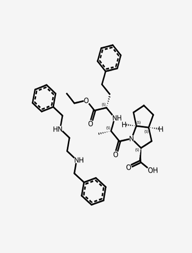 CCOC(=O)[C@H](CCc1ccccc1)N[C@@H](C)C(=O)N1[C@H](C(=O)O)C[C@@H]2CCC[C@@H]21.c1ccc(CNCCNCc2ccccc2)cc1